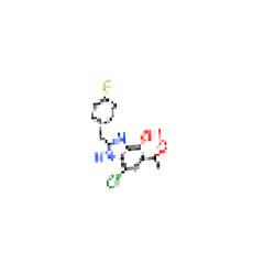 CC(=O)c1cc(Cl)c2[nH]c(Cc3ccc(F)cc3)nc2c1O